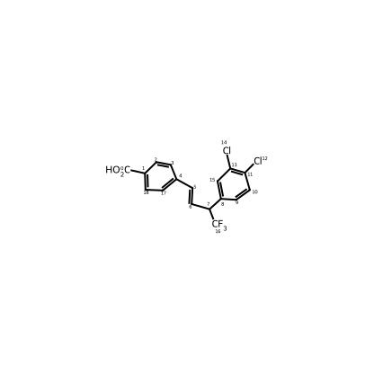 O=C(O)c1ccc(/C=C/C(c2ccc(Cl)c(Cl)c2)C(F)(F)F)cc1